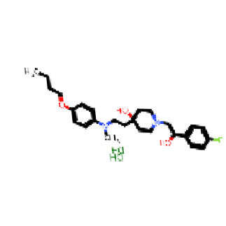 CCCCOc1ccc(N(C)CCC2(O)CCN(CC(O)c3ccc(F)cc3)CC2)cc1.Cl.Cl